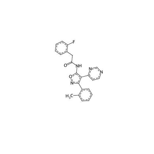 Cc1ccccc1-c1noc(NC(=O)Cc2ccccc2F)c1-c1ccncn1